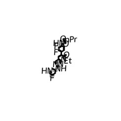 CCCS(=O)(=O)Nc1ccc(-c2cc3cnc(N[C@@H]4CNC[C@@H](F)C4)nc3n(CC)c2=O)c(F)c1F